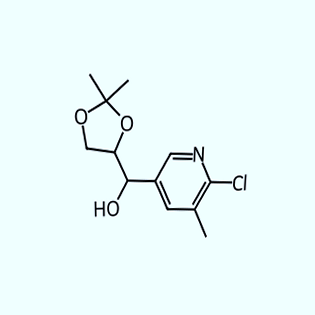 Cc1cc(C(O)C2COC(C)(C)O2)cnc1Cl